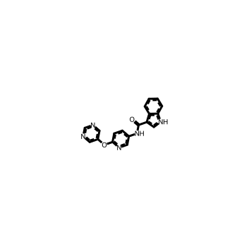 O=C(Nc1ccc(Oc2cncnc2)nc1)c1c[nH]c2ccccc12